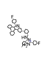 Cc1ccc(C(/N=C(\N)c2ccc(F)cc2)NCc2cccc(-c3ccc4c(c3)nc(-c3ccc(F)cc3)c3c5ccccc5c5ccccc5c43)c2)cc1